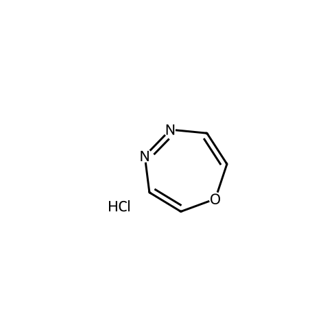 C1=COC=CN=N1.Cl